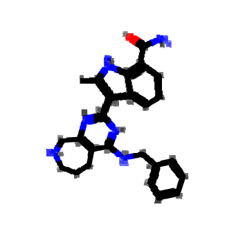 Cc1[nH]c2c(C(N)=O)cccc2c1-c1nc2c(c(NCc3ccccc3)n1)CCCNC2